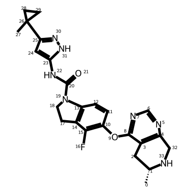 C[C@@H]1Cc2c(ncnc2Oc2ccc3c(c2F)CCN3C(=O)Nc2cc(C3(C)CC3)n[nH]2)CN1